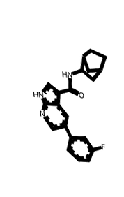 O=C(NC1CC2CCC1C2)c1c[nH]c2ncc(-c3cccc(F)c3)cc12